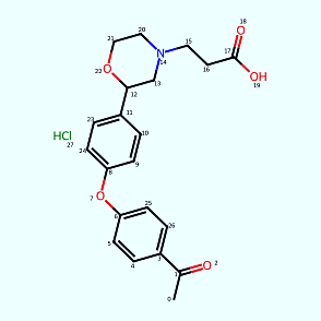 CC(=O)c1ccc(Oc2ccc(C3CN(CCC(=O)O)CCO3)cc2)cc1.Cl